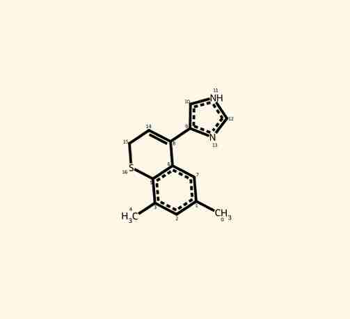 Cc1cc(C)c2c(c1)C(c1c[nH]cn1)=CCS2